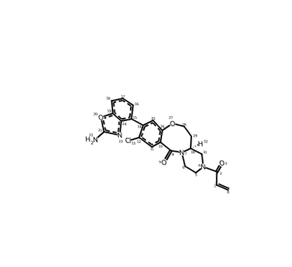 C=CC(=O)N1CCN2C(=O)c3cc(Cl)c(-c4cccc5oc(N)nc45)cc3OCC[C@H]2C1